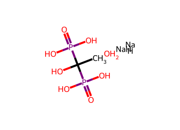 CC(O)(P(=O)(O)O)P(=O)(O)O.O.[NaH].[NaH]